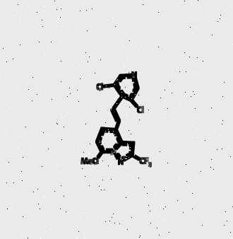 COc1ccc(/C=C/c2c(Cl)cncc2Cl)c2cc(C(F)(F)F)nn12